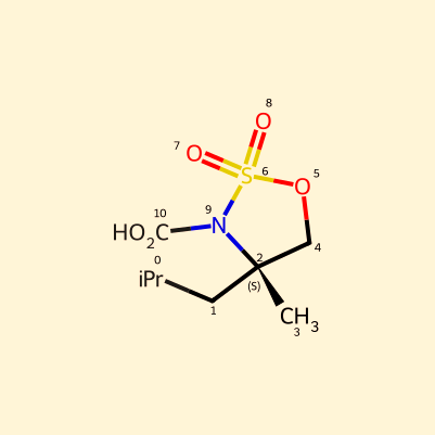 CC(C)C[C@@]1(C)COS(=O)(=O)N1C(=O)O